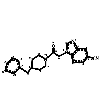 N#Cc1ccc2c(c1)ncn2CC(=O)N1CCC(Cc2ccccc2)CC1